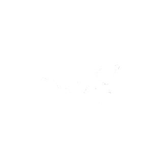 CCc1nc2cc(C(F)(F)F)ccc2n1-c1ccc(CCN)cc1